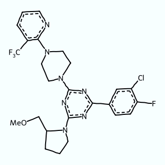 COCC1CCCN1c1nc(-c2ccc(F)c(Cl)c2)nc(N2CCN(c3ncccc3C(F)(F)F)CC2)n1